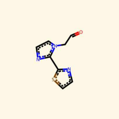 O=CCn1ccnc1-c1nccs1